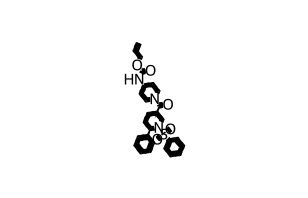 C=CCOC(=O)NC1CCN(C(=O)[C@@H]2CC[C@H](c3ccccc3)N(S(=O)(=O)c3ccccc3)C2)CC1